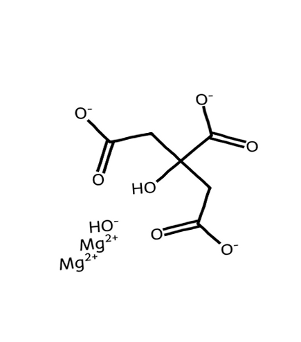 O=C([O-])CC(O)(CC(=O)[O-])C(=O)[O-].[Mg+2].[Mg+2].[OH-]